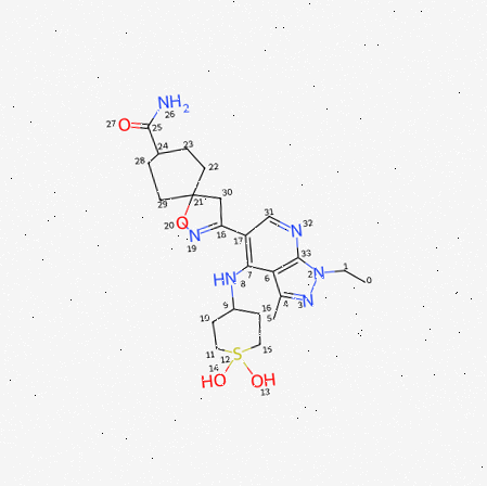 CCn1nc(C)c2c(NC3CCS(O)(O)CC3)c(C3=NOC4(CCC(C(N)=O)CC4)C3)cnc21